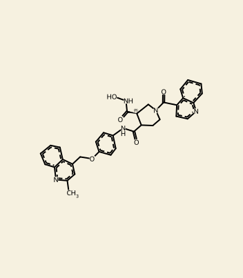 Cc1cc(COc2ccc(NC(=O)C3CCN(C(=O)c4ccnc5ccccc45)C[C@@H]3C(=O)NO)cc2)c2ccccc2n1